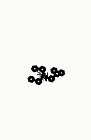 c1ccc(-c2cccc(-c3nc(-c4cccc(-c5cc6ccccc6c6ccccc56)c4)nc(-c4cccc5c4sc4ccccc45)n3)c2)cc1